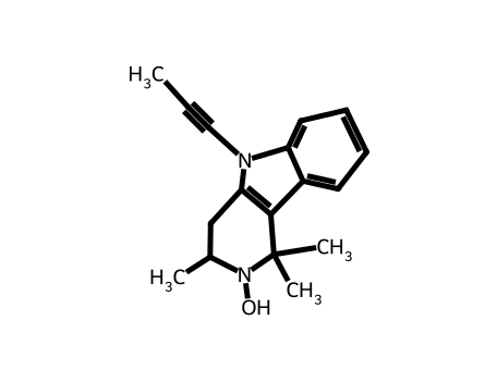 CC#Cn1c2c(c3ccccc31)C(C)(C)N(O)C(C)C2